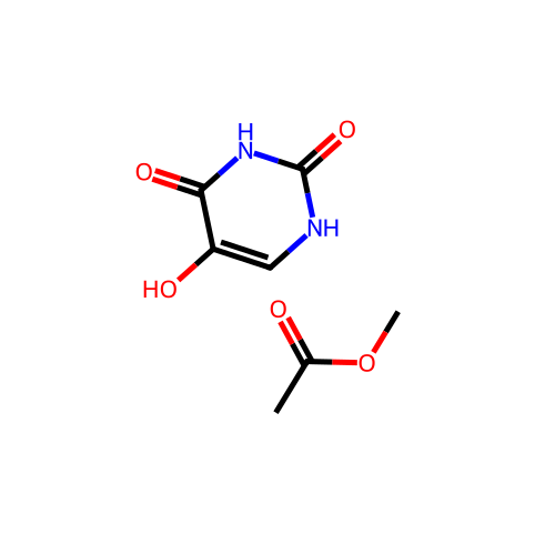 COC(C)=O.O=c1[nH]cc(O)c(=O)[nH]1